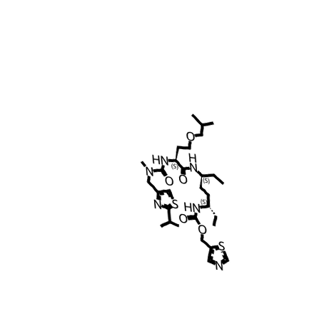 CC[C@@H](CC[C@H](CC)NC(=O)[C@H](CCOCC(C)C)NC(=O)N(C)Cc1csc(C(C)C)n1)NC(=O)OCc1cncs1